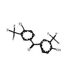 O=C(c1ccc(O)c(C(F)(F)F)c1)c1ccc(Cl)c(C(F)(F)F)c1